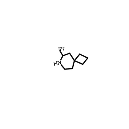 CC(C)C1CC2(CCC2)CCN1